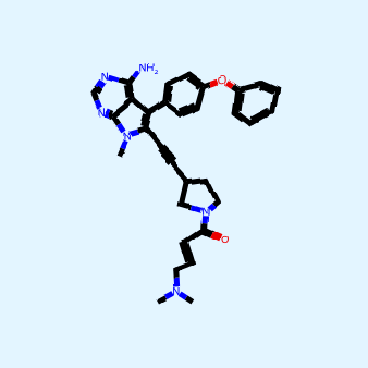 CN(C)C/C=C/C(=O)N1CCC(C#Cc2c(-c3ccc(Oc4ccccc4)cc3)c3c(N)ncnc3n2C)C1